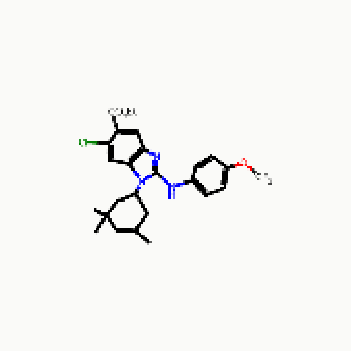 CCOC(=O)c1cc2nc(Nc3ccc(OC(F)(F)F)cc3)n(C3CC(C)CC(C)(C)C3)c2cc1Cl